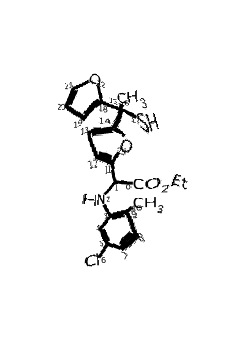 CCOC(=O)C(Nc1cc(Cl)ccc1C)c1ccc(C(C)(S)c2ccco2)o1